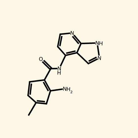 Cc1ccc(C(=O)Nc2ccnc3[nH]ncc23)c(N)c1